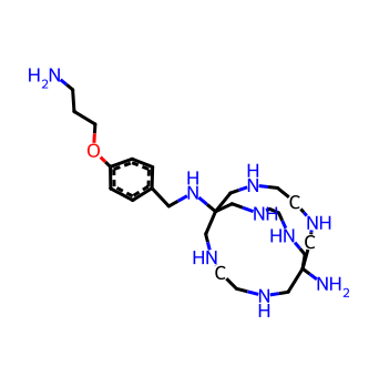 NCCCOc1ccc(CNC23CNCCNCC(N)(CNCCNC2)CNCCNC3)cc1